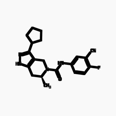 C[C@@H]1Cc2[nH]nc(C3CCCC3)c2CN1C(=O)Nc1ccc(F)c(C#N)c1